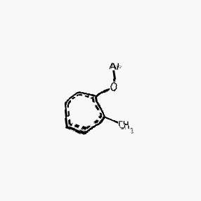 Cc1ccccc1[O][Al]